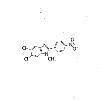 Cn1c(-c2ccc([N+](=O)[O-])cc2)nc2cc(Cl)c(Cl)cc21